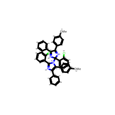 COc1ccc(C2=NC(c3ccccc3Cl)(n3c(-c4ccccc4Cl)nc(-c4ccccc4)c3-c3ccc(OC)cc3)N=C2c2ccccc2)cc1